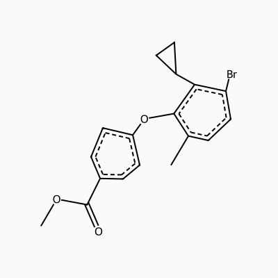 COC(=O)c1ccc(Oc2c(C)ccc(Br)c2C2CC2)cc1